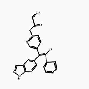 C=CC(=O)Oc1ccc(/C(=C(\CC)c2ccccc2)c2ccc3[nH]ncc3c2)cn1